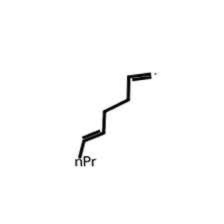 [CH]=CCC/C=C/CC[CH2]